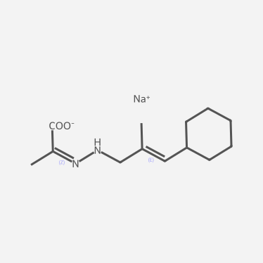 C/C(=N/NC/C(C)=C/C1CCCCC1)C(=O)[O-].[Na+]